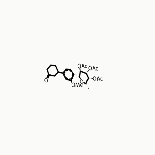 COc1cc(C2CCCC(=O)C2)ccc1[C@H]1O[C@@H](C)[C@@H](OC(C)=O)[C@@H](OC(C)=O)[C@@H]1OC(C)=O